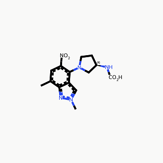 Cc1cc([N+](=O)[O-])c(N2CC[C@@H](NC(=O)O)C2)c2cn(C)nc12